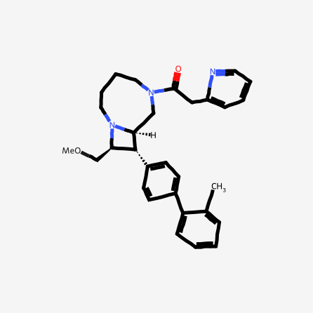 COC[C@@H]1[C@@H](c2ccc(-c3ccccc3C)cc2)[C@@H]2CN(C(=O)Cc3ccccn3)CCCCN12